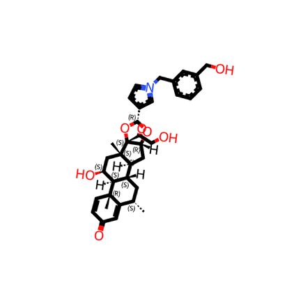 C[C@H]1C[C@@H]2[C@H]([C@@H](O)C[C@@]3(C)[C@H]2C[C@H]2O[C@@H](c4ccn(Cc5cccc(CO)c5)c4)O[C@]23C(=O)CO)[C@@]2(C)C=CC(=O)C=C12